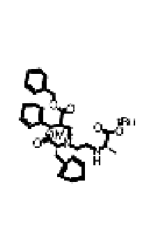 COC(=O)[C@H](Cc1ccccc1)N(CCN[C@H](C)C(=O)OC(C)(C)C)CC(Cc1ccccc1)C(=O)OCc1ccccc1